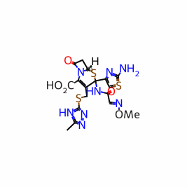 CON=CC(=O)NC1(c2csc(N)n2)S[C@H]2CC(=O)N2C(C(=O)O)=C1CSc1nnc(C)[nH]1